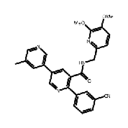 COc1ccc(CNC(=O)c2cc(-c3cncc(C)c3)cnc2-c2cccc(C#N)c2)nc1OC